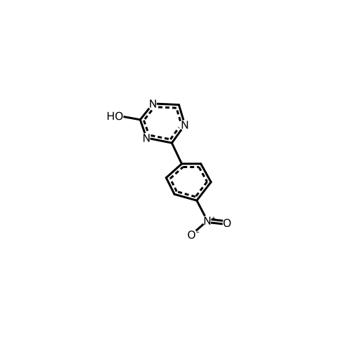 O=[N+]([O-])c1ccc(-c2ncnc(O)n2)cc1